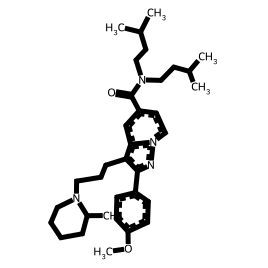 COc1ccc(-c2nn3ccc(C(=O)N(CCC(C)C)CCC(C)C)cc3c2CCCN2CCCCC2C)cc1